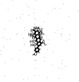 COc1ccc(-c2cc(N(C)C)c3c(c2O)C(O)=C2C(=O)[C@]4(O)C(O)=C(C(N)=O)C(=O)[C@@H](N(C)C)[C@@H]4C[C@@H]2C3)cc1